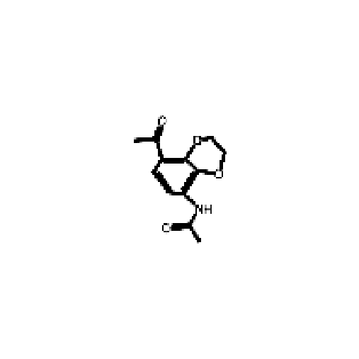 CC(=O)Nc1ccc(C(C)=O)c2c1OCCO2